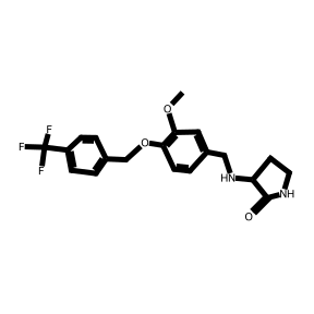 COc1cc(CNC2CCNC2=O)ccc1OCc1ccc(C(F)(F)F)cc1